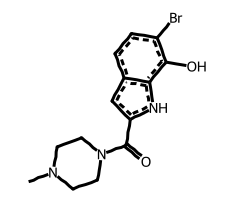 CN1CCN(C(=O)c2cc3ccc(Br)c(O)c3[nH]2)CC1